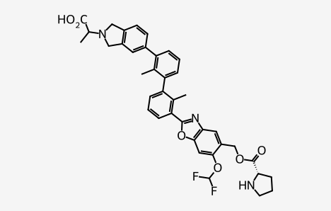 Cc1c(-c2ccc3c(c2)CN(C(C)C(=O)O)C3)cccc1-c1cccc(-c2nc3cc(COC(=O)[C@@H]4CCCN4)c(OC(F)F)cc3o2)c1C